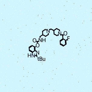 CC(C)(C)c1nc2c(OC(=O)NCC3CCN(CC4CCN(C(=O)c5ccccc5F)CC4)CC3)cccc2[nH]1